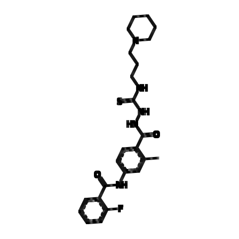 Cc1cc(NC(=O)c2ccccc2F)ccc1C(=O)NNC(=S)NCCCN1CCCCC1